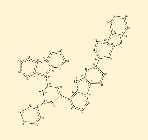 c1ccc(C2=NC(c3cccc4c3oc3cc(-c5ccc6c(c5)sc5ccccc56)ccc34)=NC(n3c4ccccc4c4ccccc43)N2)cc1